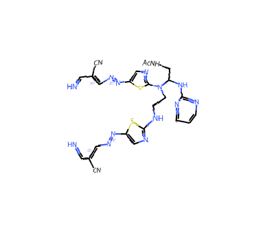 CC(=O)NCC(Nc1ncccn1)N(CCNc1ncc(/N=N/C=C(\C#N)C=N)s1)c1ncc(/N=N/C=C(\C#N)C=N)s1